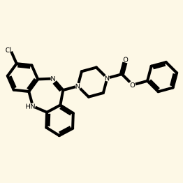 O=C(Oc1ccccc1)N1CCN(C2=Nc3cc(Cl)ccc3Nc3ccccc32)CC1